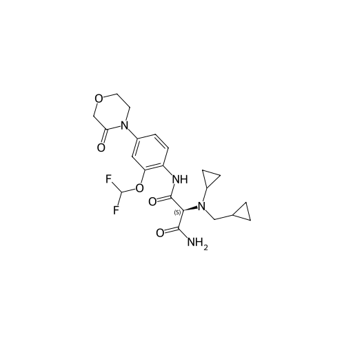 NC(=O)[C@@H](C(=O)Nc1ccc(N2CCOCC2=O)cc1OC(F)F)N(CC1CC1)C1CC1